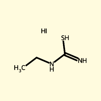 CCNC(=N)S.I